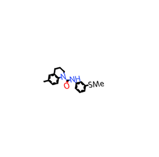 CSc1cccc(NC(=O)N2CCCc3cc(C)ccc32)c1